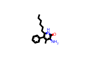 CCCCCCc1[nH]c(=O)c(N)c(C)c1-c1ccccc1